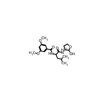 COc1cc(OC)cc(C(=O)NC(CC(C)C)C(=O)N[C@H]2CCOC2O)c1